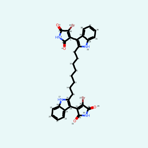 O=C1NC(=O)C(c2c(CCCCCCCCc3[nH]c4ccccc4c3C3=C(Br)C(=O)NC3=O)[nH]c3ccccc23)=C1Br